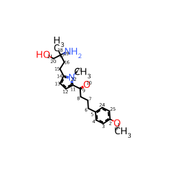 COc1ccc(CCCC(=O)c2ccc(CCC(C)(N)CO)n2C)cc1